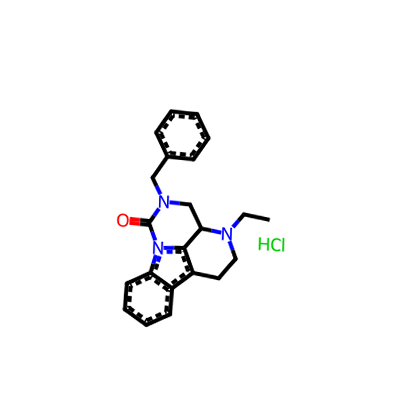 CCN1CCc2c3n(c4ccccc24)C(=O)N(Cc2ccccc2)CC31.Cl